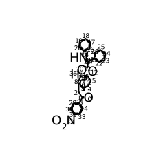 O=C(C[N+]12CCC(CC1)[C@@H](OC(=O)[C@H](Nc1ccccc1)c1ccccc1)C2)c1ccc([N+](=O)[O-])cc1